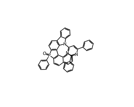 O=P1(c2ccccc2)c2ccc3ccccc3c2-c2c1ccc1c3ccccc3n(-c3cc(-c4ccccc4)nc(-c4ccccc4)n3)c21